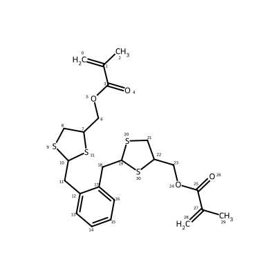 C=C(C)C(=O)OCC1CSC(Cc2ccccc2CC2SCC(COC(=O)C(=C)C)S2)S1